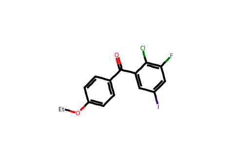 CCOc1ccc(C(=O)c2cc(I)cc(F)c2Cl)cc1